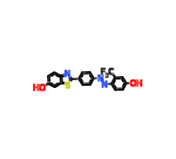 Oc1ccc(N=Nc2ccc(-c3nc4ccc(O)cc4s3)cc2)c(C(F)(F)F)c1